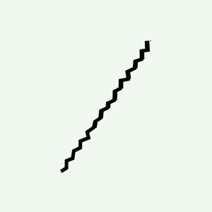 [CH]=CC=CC=CC=CC=CC=CC=CC=CC=CCCCCCCCCC